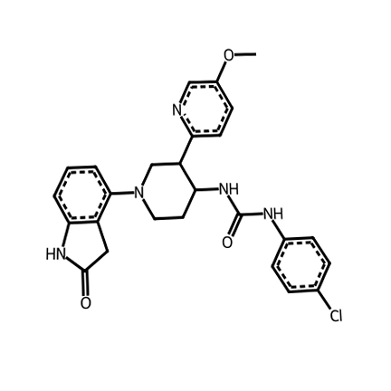 COc1ccc(C2CN(c3cccc4c3CC(=O)N4)CCC2NC(=O)Nc2ccc(Cl)cc2)nc1